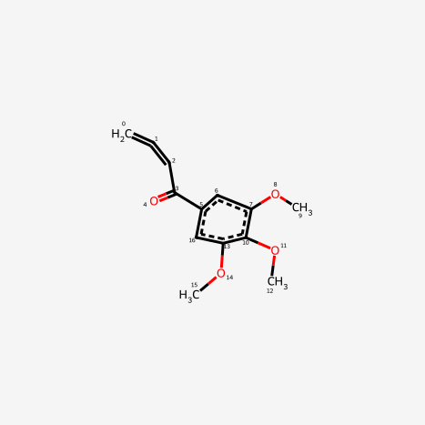 C=C=CC(=O)c1cc(OC)c(OC)c(OC)c1